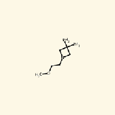 COCCN1CC(P)(P)C1